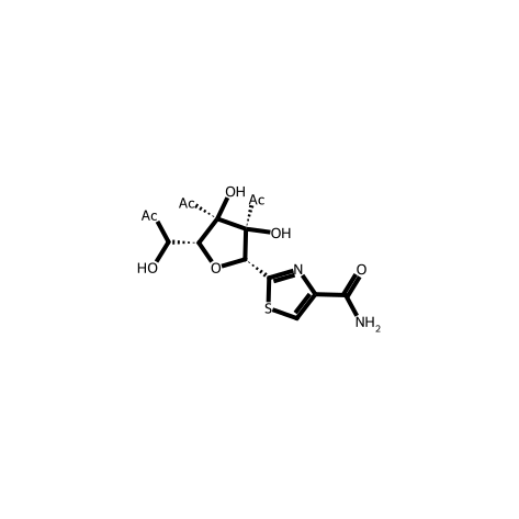 CC(=O)C(O)[C@H]1O[C@@H](c2nc(C(N)=O)cs2)[C@@](O)(C(C)=O)[C@@]1(O)C(C)=O